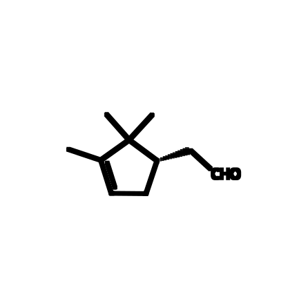 CC1=CC[C@@H](CC=O)C1(C)C